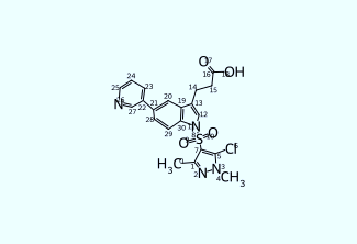 Cc1nn(C)c(Cl)c1S(=O)(=O)n1cc(CCC(=O)O)c2cc(-c3cccnc3)ccc21